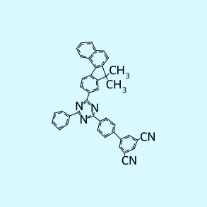 CC1(C)c2cc(-c3nc(-c4ccccc4)nc(-c4ccc(-c5cc(C#N)cc(C#N)c5)cc4)n3)ccc2-c2c1ccc1ccccc21